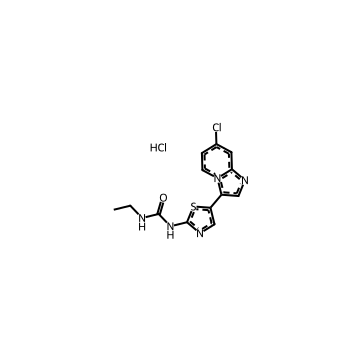 CCNC(=O)Nc1ncc(-c2cnc3cc(Cl)ccn23)s1.Cl